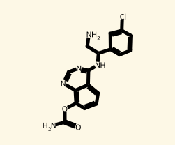 NCC(Nc1ncnc2c(OC(N)=O)cccc12)c1cccc(Cl)c1